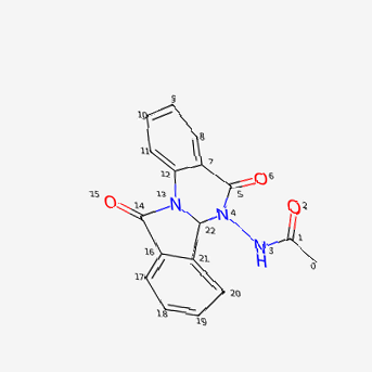 CC(=O)NN1C(=O)c2ccccc2N2C(=O)c3ccccc3C12